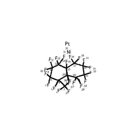 FC(F)(F)C1(F)C(F)(F)C(F)(F)C(F)(F)C2(F)C(F)(F)C(F)(F)C(F)(F)C(F)(F)C12F.[Ni].[Pt]